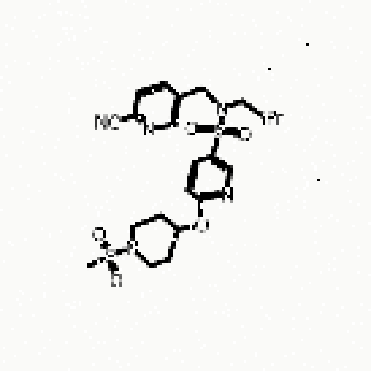 CC(C)CN(Cc1ccc(C#N)nc1)S(=O)(=O)c1ccc(OC2CCN(S(C)(=O)=O)CC2)nc1